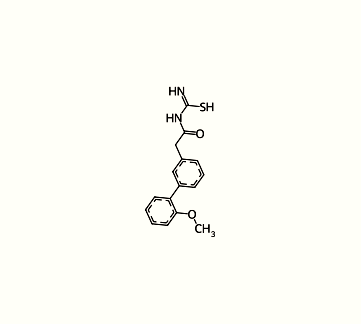 COc1ccccc1-c1cccc(CC(=O)NC(=N)S)c1